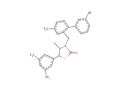 CC(C)c1cccc(-c2ccc(C(F)(F)F)cc2CN2C(=O)SC(c3cc(C(F)(F)F)cc(C(F)(F)F)c3)C2C)c1